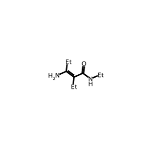 CCNC(=O)/C(CC)=C(/N)CC